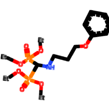 CCOP(=O)(OCC)C(NCCCOc1ccccc1)P(=O)(OCC)OCC